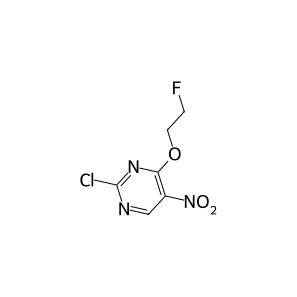 O=[N+]([O-])c1cnc(Cl)nc1OCCF